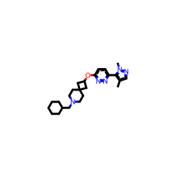 Cc1cnn(C)c1-c1ccc(OC2CC3(CCN(CC4CCCCC4)CC3)C2)nn1